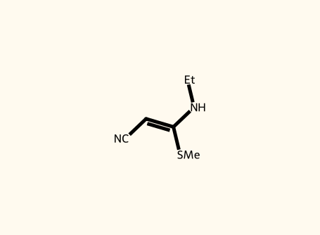 CCNC(=CC#N)SC